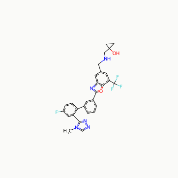 Cn1cnnc1-c1cc(F)ccc1-c1cccc(-c2nc3cc(CNCC4(O)CC4)cc(C(F)(F)F)c3o2)c1